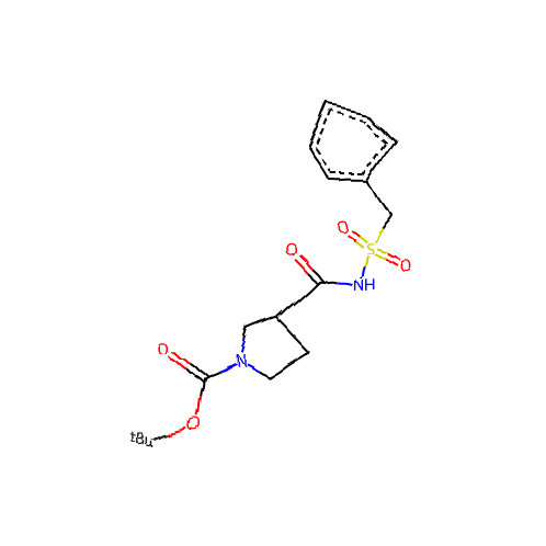 CC(C)(C)OC(=O)N1CCC(C(=O)NS(=O)(=O)Cc2ccccc2)C1